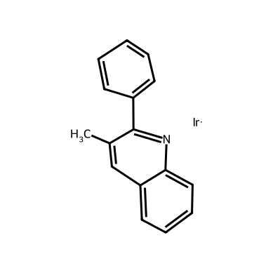 Cc1cc2ccccc2nc1-c1ccccc1.[Ir]